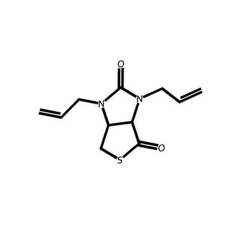 C=CCN1C(=O)N(CC=C)C2C(=O)SCC21